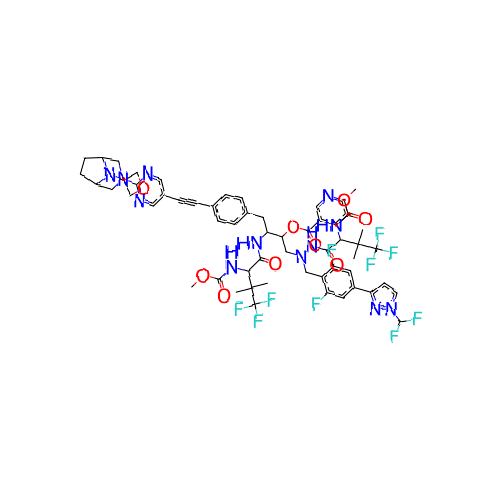 COC(=O)NC(C(=O)NC(Cc1ccc(C#Cc2cnc(N3CC4CCC(C3)N4C3COC3)nc2)cc1)C(CN(Cc1c(F)cc(-c2ccn(C(F)F)n2)cc1F)NC(=O)C(NC(=O)OC)C(C)(C)C(F)(F)F)OC(=O)c1cccnc1)C(C)(C)C(F)(F)F